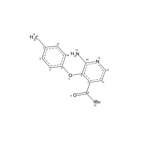 Cc1ccc(Oc2c(C(=O)C(C)(C)C)ccnc2N)cc1